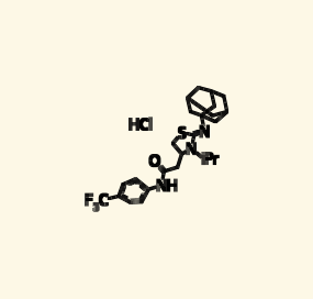 CC(C)N1C(=NC23CC4CC(CC(C4)C2)C3)SCC1CC(=O)Nc1ccc(C(F)(F)F)cc1.Cl